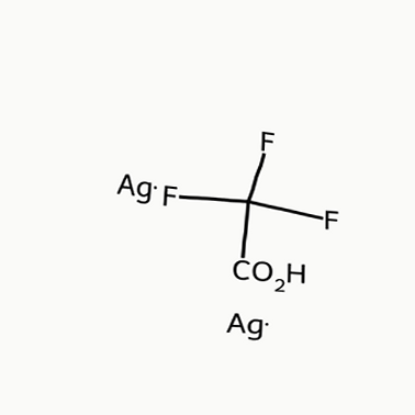 O=C(O)C(F)(F)F.[Ag].[Ag]